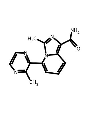 Cc1nccnc1-c1cccc2c(C(N)=O)nc(C)n12